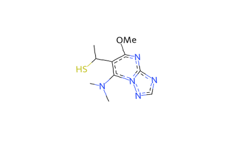 COc1nc2ncnn2c(N(C)C)c1C(C)S